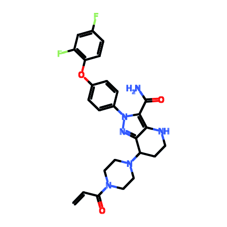 C=CC(=O)N1CCN(C2CCNc3c2nn(-c2ccc(Oc4ccc(F)cc4F)cc2)c3C(N)=O)CC1